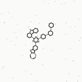 C1=CCc2c(sc3cc(-c4nc(-c5ccc(-c6cccc(-c7ccccc7)c6)cc5)nc(-c5cccc6sc7ccccc7c56)n4)ccc23)C=C1